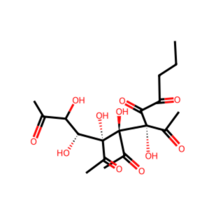 CCCC(=O)C(=O)[C@@](O)(C(C)=O)[C@](O)(C(C)=O)[C@@](O)(C(C)=O)[C@H](O)C(O)C(C)=O